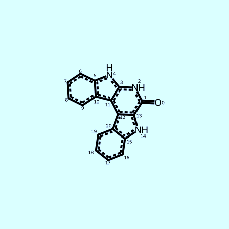 O=c1[nH]c2[nH]c3ccccc3c2c2c1[nH]c1ccccc12